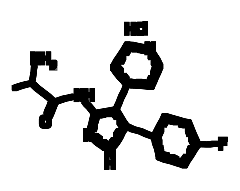 CC(N)C(=O)Nc1n[nH]c(-c2ccc(F)cc2)c1-c1ccncc1.Cl